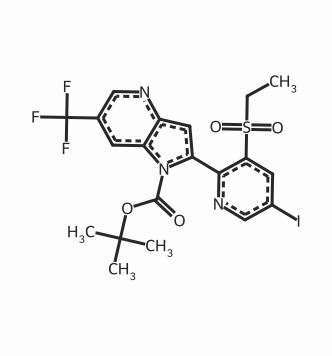 CCS(=O)(=O)c1cc(I)cnc1-c1cc2ncc(C(F)(F)F)cc2n1C(=O)OC(C)(C)C